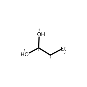 [CH2]C[CH]C(O)O